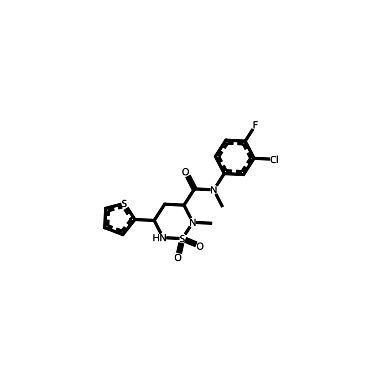 CN(C(=O)C1CC(c2cccs2)NS(=O)(=O)N1C)c1ccc(F)c(Cl)c1